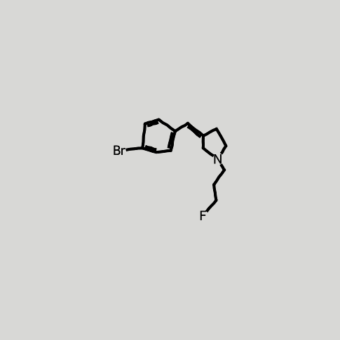 FCCCN1CCC(=Cc2ccc(Br)cc2)C1